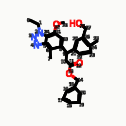 CCn1nnc2c(C)c(C(CC(=O)OCc3ccccc3)c3ccc(C)c(CO)c3)cc(OC)c21